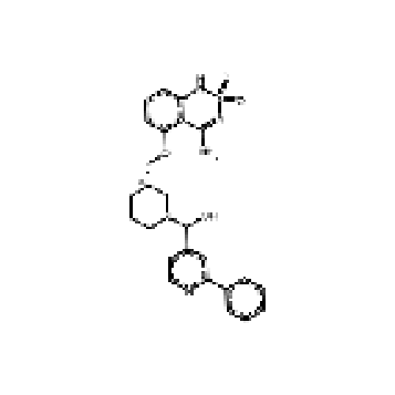 NC1=NS(=O)(=O)Nc2cccc(OC[C@H]3CCCN(C(O)c4ccnc(-c5ccccc5)c4)C3)c21